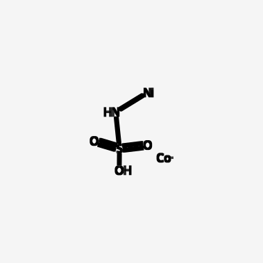 O=S(=O)(O)[NH][Ni].[Co]